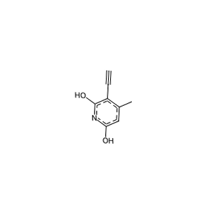 C#Cc1c(C)cc(O)nc1O